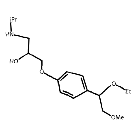 CCOC(COC)c1ccc(OCC(O)CNC(C)C)cc1